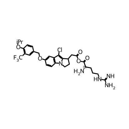 CC(C)Oc1ccc(COc2ccc3c(c2)c(Cl)c2n3CCC2CC(=O)OC(=O)[C@@H](N)CCCNC(=N)N)cc1C(F)(F)F